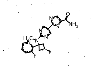 CN(c1ncc(-c2ncc(C(N)=O)s2)cn1)[C@]1(c2ncccc2F)C[C@@H](F)C1